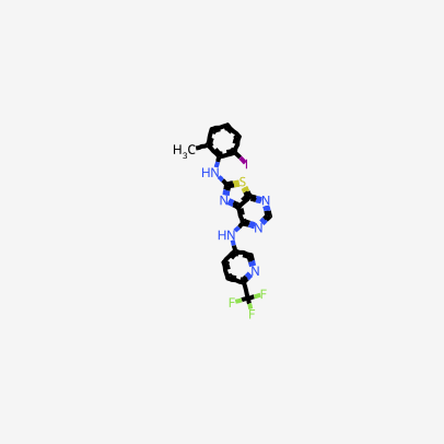 Cc1cccc(I)c1Nc1nc2c(Nc3ccc(C(F)(F)F)nc3)ncnc2s1